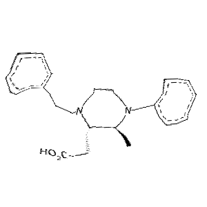 C[C@H]1[C@H](CC(=O)O)N(Cc2ccccc2)CCN1c1ccccc1